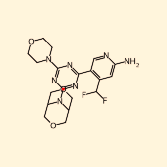 Nc1cc(C(F)F)c(-c2nc(N3CCOCC3)nc(N3C4COCC3COC4)n2)cn1